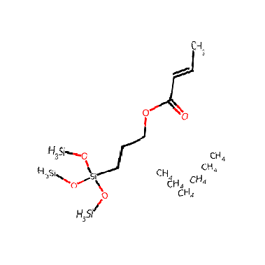 C.C.C.C.C.C.CC=CC(=O)OCCC[Si](O[SiH3])(O[SiH3])O[SiH3]